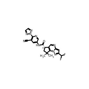 CC1(C)C[C@H](C(=O)Nc2cnc(-n3nccn3)c(C#N)c2)c2cnc3cc(C(F)F)nn3c21